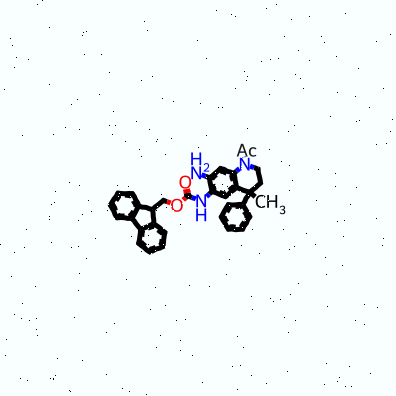 CC(=O)N1CCC(C)(c2ccccc2)c2cc(NC(=O)OCC3c4ccccc4-c4ccccc43)c(N)cc21